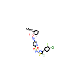 COc1cccc(CNc2ccc(S(=O)(=O)Nc3nc(-c4ccc(Cl)c(F)c4)c(Cl)s3)nc2)c1O